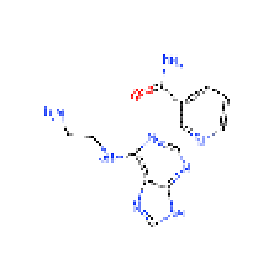 NC(=O)c1cccnc1.NCCNc1ncnc2[nH]cnc12